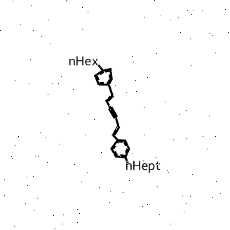 CCCCCCCc1ccc(C=CC#CC=Cc2ccc(CCCCCC)cc2)cc1